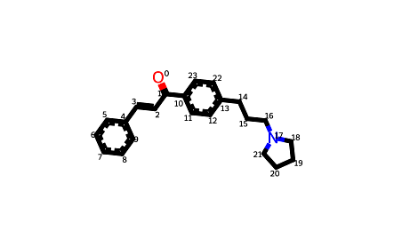 O=C(/C=C/c1ccccc1)c1ccc(CCCN2CCCC2)cc1